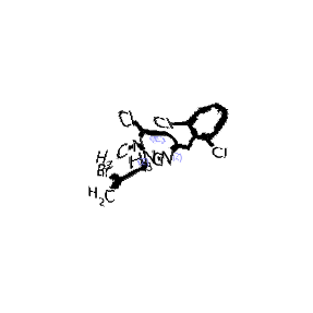 C=C(Br)/C=N\N(C)/C(Cl)=C\C(Cc1c(Cl)cccc1Cl)=N/C